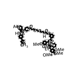 CC[C@H](C(=O)N1CCCC[C@H]1C(=O)O[C@H](CCc1ccc(OC)c(OC)c1)c1cccc(OCC(=O)NCCOCCOCCC(=O)N2CCC(n3nc(Nc4ccc(-c5cnn(C)c5)cc4F)c4c3CCN(C(C)=O)C4)CC2)c1)c1cc(OC)c(OC)c(OC)c1